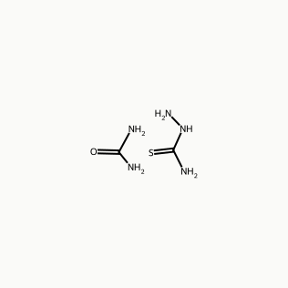 NC(N)=O.NNC(N)=S